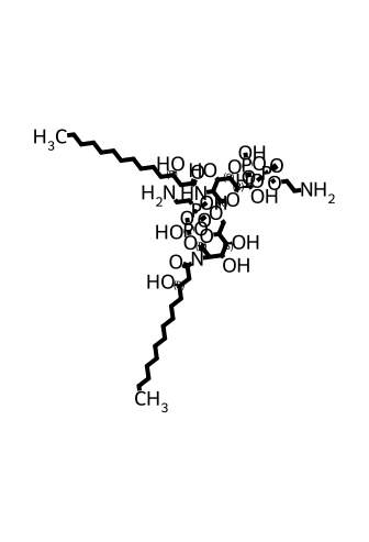 CCCCCCCCCCC[C@@H](O)CC(=O)NC1C(O)[C@H](OP(=O)(O)OP(=O)(O)OCCN)[C@@H](CO)O[C@H]1OCC1O[C@@]2(OP(=O)(O)OP(=O)(O)CCN)C(C(O)[C@@H]1O)N2C(=O)C[C@H](O)CCCCCCCCCCC